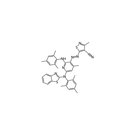 Cc1cc(C)c(Nc2nc(N(c3nc4ccccc4s3)c3c(C)cc(C)cc3C)cc(C)c2N=Nc2snc(C)c2C#N)c(C)c1